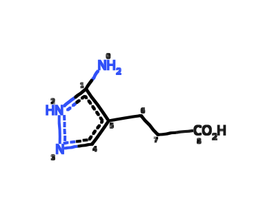 Nc1[nH]ncc1CCC(=O)O